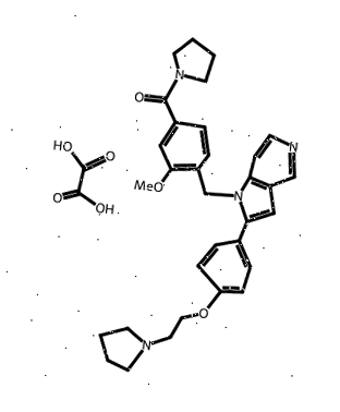 COc1cc(C(=O)N2CCCC2)ccc1Cn1c(-c2ccc(OCCN3CCCC3)cc2)cc2cnccc21.O=C(O)C(=O)O